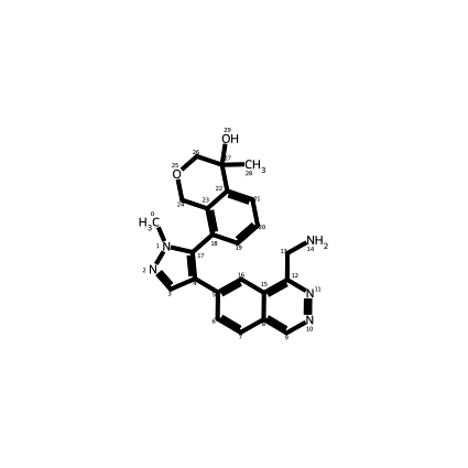 Cn1ncc(-c2ccc3cnnc(CN)c3c2)c1-c1cccc2c1COCC2(C)O